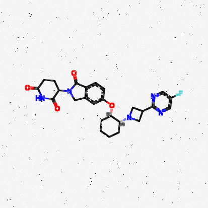 O=C1CCC(N2Cc3cc(O[C@H]4CCCC[C@H]4N4CC(c5ncc(F)cn5)C4)ccc3C2=O)C(=O)N1